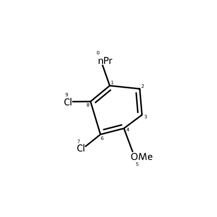 CCCc1ccc(OC)c(Cl)c1Cl